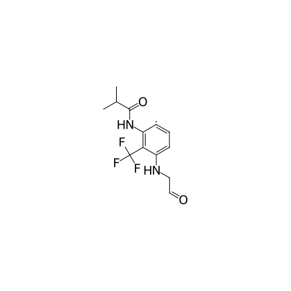 CC(C)C(=O)Nc1[c]ccc(NCC=O)c1C(F)(F)F